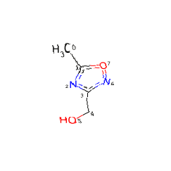 Cc1nc(CO)no1